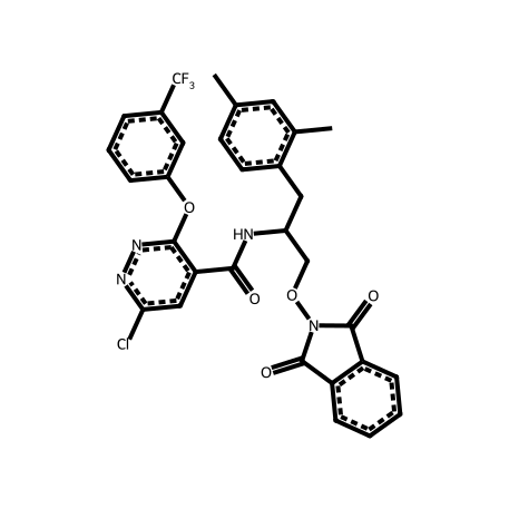 Cc1ccc(CC(CON2C(=O)c3ccccc3C2=O)NC(=O)c2cc(Cl)nnc2Oc2cccc(C(F)(F)F)c2)c(C)c1